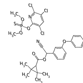 CC1(C)C(C(=O)OC(C#N)c2cccc(Oc3ccccc3)c2)C1(C)C.COP(=S)(OC)Oc1nc(Cl)c(Cl)cc1Cl